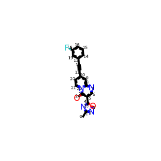 Cc1noc(-c2cnc3cc(C#Cc4cccc(F)c4)ccn3c2=O)n1